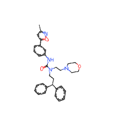 Cc1cc(-c2cccc(NC(=O)N(CCC(c3ccccc3)c3ccccc3)CCN3CCOCC3)c2)on1